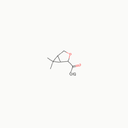 CC1(C)C2COC(C(=O)C=O)C21